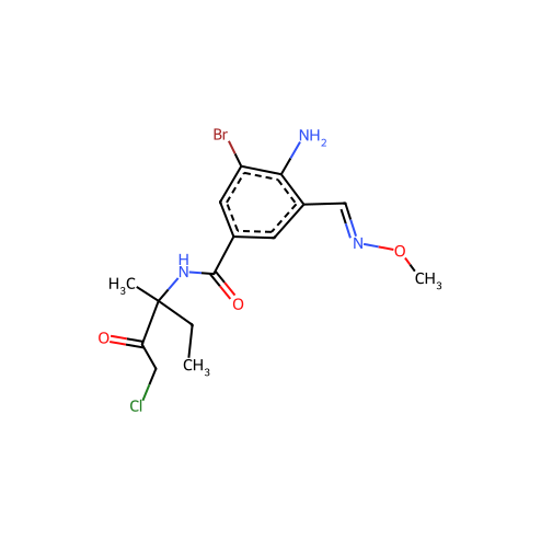 CCC(C)(NC(=O)c1cc(Br)c(N)c(/C=N/OC)c1)C(=O)CCl